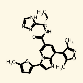 CC[C@H](NC(=O)c1cc(-c2c(C)noc2C)c2ncc(-c3ccc(C)s3)n2c1)c1nnc[nH]1